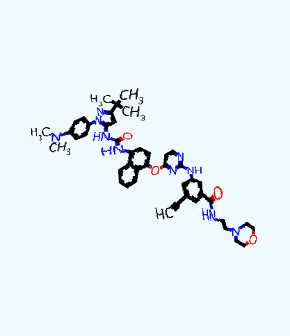 C#Cc1cc(Nc2nccc(Oc3ccc(NC(=O)Nc4cc(C(C)(C)C)nn4-c4ccc(N(C)C)cc4)c4ccccc34)n2)cc(C(=O)NCCN2CCOCC2)c1